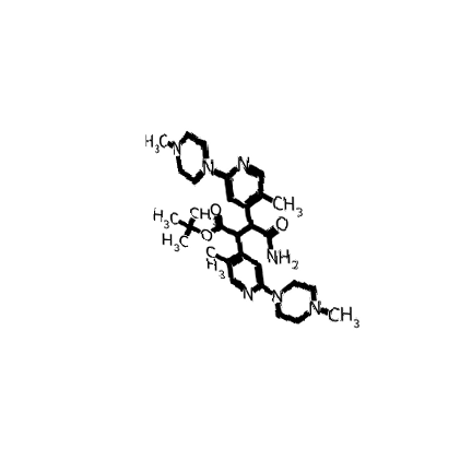 Cc1cnc(N2CCN(C)CC2)cc1C(C(N)=O)C(C(=O)OC(C)(C)C)c1cc(N2CCN(C)CC2)ncc1C